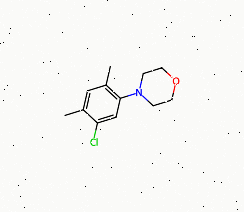 Cc1cc(C)c(N2CCOCC2)cc1Cl